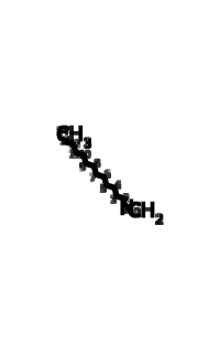 C=NCCCCCCCCCCCCC